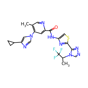 Cc1cnc(C(=O)Nc2csc(-c3nncn3C(C)C(F)(F)F)n2)cc1-n1cnc(C2CC2)c1